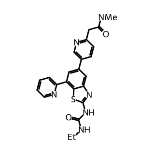 CCNC(=O)Nc1nc2cc(-c3ccc(CC(=O)NC)nc3)cc(-c3ccccn3)c2s1